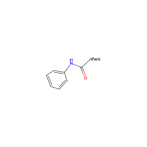 CCCCCC(=O)Nc1[c]cccc1